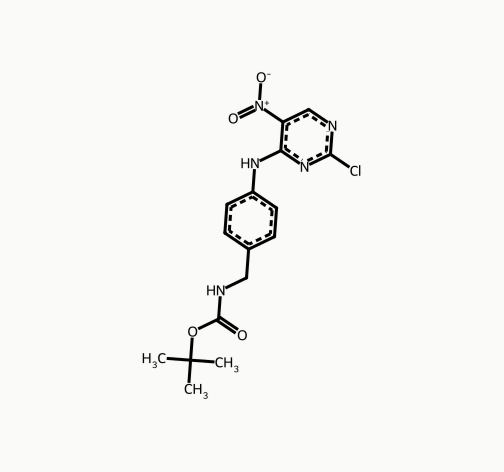 CC(C)(C)OC(=O)NCc1ccc(Nc2nc(Cl)ncc2[N+](=O)[O-])cc1